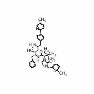 Cc1ccc(-c2ccc(CC(N)C[C@H](O)[C@H](Cc3ccccc3)NC(=O)C(N3CCN(Cc4cccc(C)n4)C3=O)C(C)(C)C)cc2)nc1